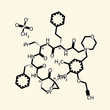 C#CCOc1cc(C[N+]2(CC(=O)N[C@@H](CCc3ccccc3)C(=O)N[C@@H](CC(C)C)C(=O)N[C@@H](Cc3ccccc3)C(=O)N[C@@H](CC(C)C)C(=O)[C@@]3(C)CO3)CCOCC2)cc(C)c1OC(C)=O.CS(=O)(=O)[O-]